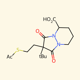 CC(=O)SCCC1(C(C)(C)C)C(=O)N2CCCC(C(=O)O)N2C1=O